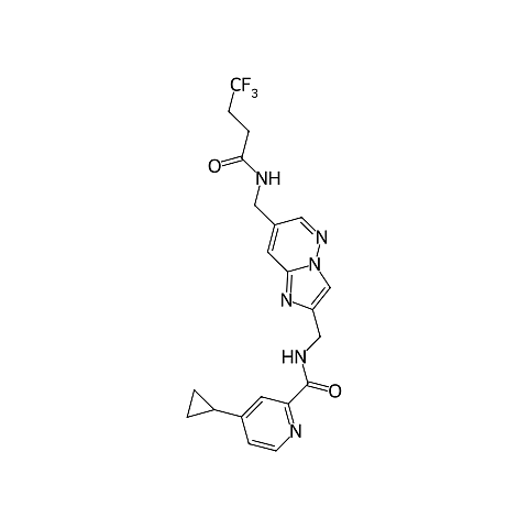 O=C(CCC(F)(F)F)NCc1cnn2cc(CNC(=O)c3cc(C4CC4)ccn3)nc2c1